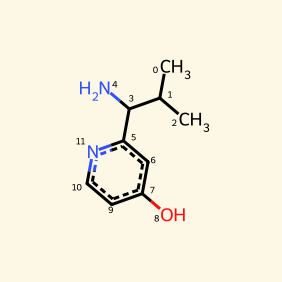 CC(C)C(N)c1cc(O)ccn1